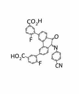 N#Cc1ccc(/N=C2/C(=O)c3ccc(-c4cc(C(=O)O)ccc4F)cc3-c3cc(-c4cc(C(=O)O)ccc4F)ccc32)cc1